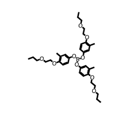 CCCOCCOc1ccc(OB(Oc2ccc(OCCOCCC)c(C)c2)Oc2ccc(OCCOCCC)c(C)c2)cc1C